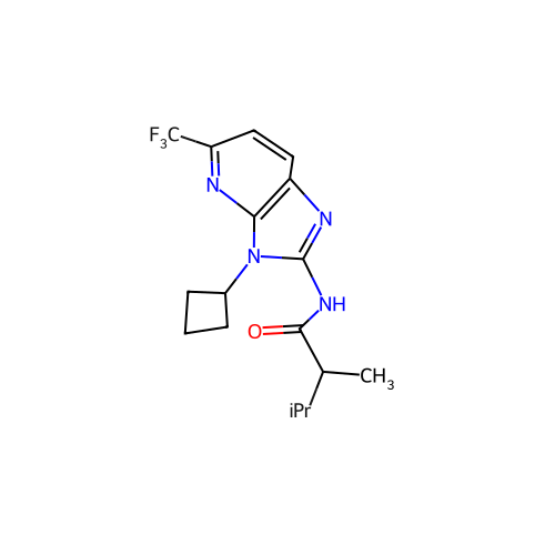 CC(C)C(C)C(=O)Nc1nc2ccc(C(F)(F)F)nc2n1C1CCC1